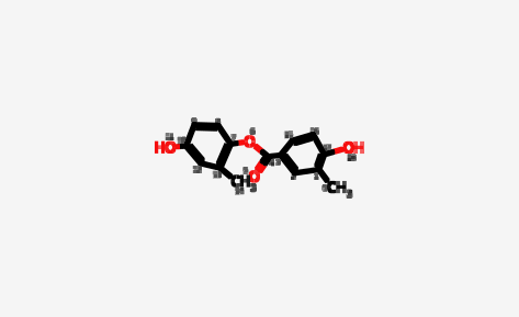 Cc1cc(C(=O)Oc2ccc(O)cc2C)ccc1O